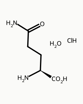 Cl.NC(=O)CC[C@H](N)C(=O)O.O